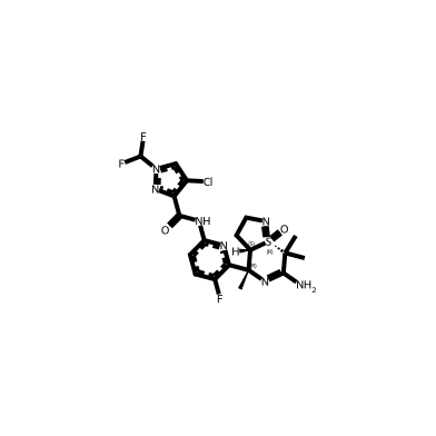 CC1(C)C(N)=N[C@](C)(c2nc(NC(=O)c3nn(C(F)F)cc3Cl)ccc2F)[C@@H]2CCN=[S@@]21=O